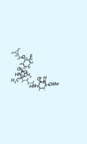 COc1ccc(NCCCCC(C)(C)NS(=O)(=O)c2ccc(F)c(OCC3CC3)c2)c(=O)[nH]1